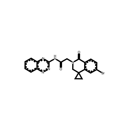 O=C(CN1CC2(CC2)c2cc(Br)ccc2C1=O)Nc1nnc2ccccc2n1